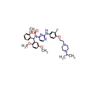 COc1ccc(OC)c(C(c2ccccc2SC)N(C(=O)O)c2ccnc(Nc3ccc(OCCN4CCN(C(C)C)CC4)c(F)c3)n2)c1